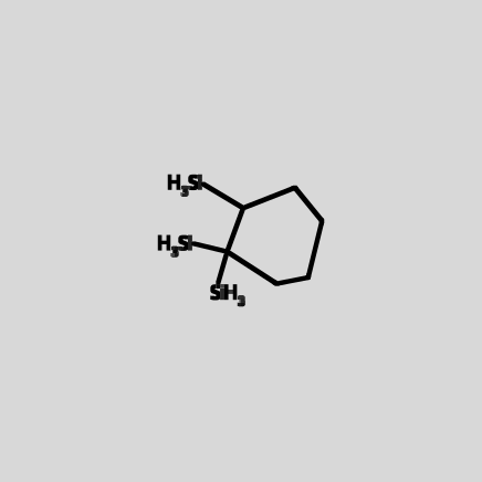 [SiH3]C1CCCCC1([SiH3])[SiH3]